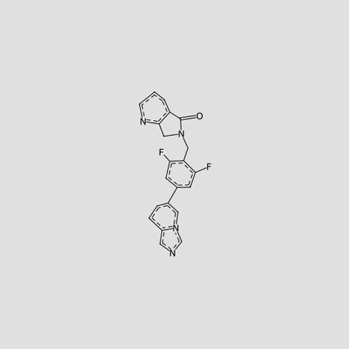 O=C1c2cccnc2CN1Cc1c(F)cc(-c2ccc3cncn3c2)cc1F